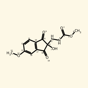 COC(=O)NNC1(O)C(=O)c2ccc(OC)cc2C1=O